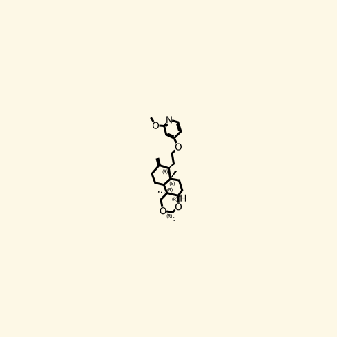 C=C1CCC2[C@]3(C)CO[C@@H](C)O[C@@H]3CC[C@@]2(C)[C@@H]1CCOc1ccnc(OC)c1